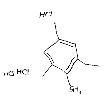 Cc1cc(C)c([SiH3])c(C)c1.Cl.Cl.Cl